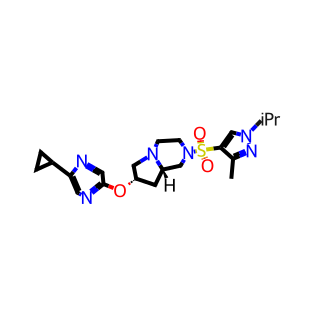 Cc1nn(C(C)C)cc1S(=O)(=O)N1CCN2C[C@@H](Oc3cnc(C4CC4)cn3)C[C@H]2C1